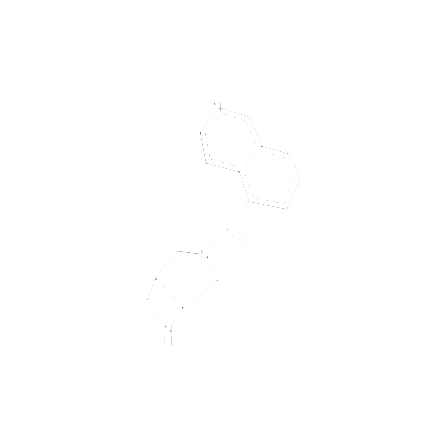 O=S(=O)(c1cccc2cncc(F)c12)N1CC2CNC2C1